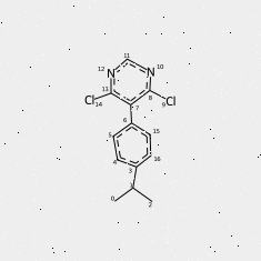 CC(C)c1ccc(-c2c(Cl)ncnc2Cl)cc1